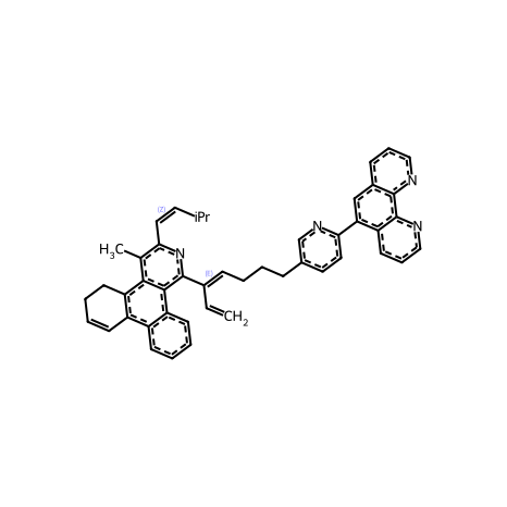 C=C/C(=C\CCCc1ccc(-c2cc3cccnc3c3ncccc23)nc1)c1nc(/C=C\C(C)C)c(C)c2c3c(c4ccccc4c12)C=CCC3